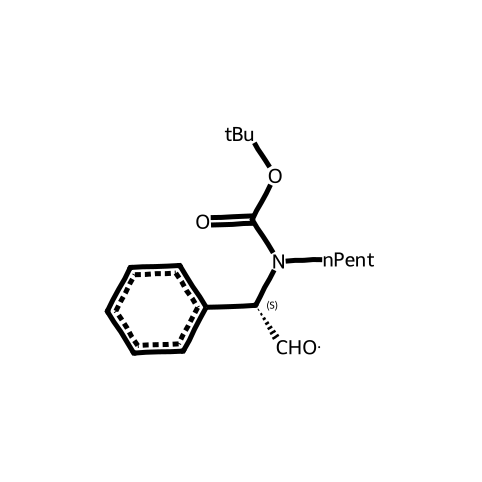 CCCCCN(C(=O)OC(C)(C)C)[C@H]([C]=O)c1ccccc1